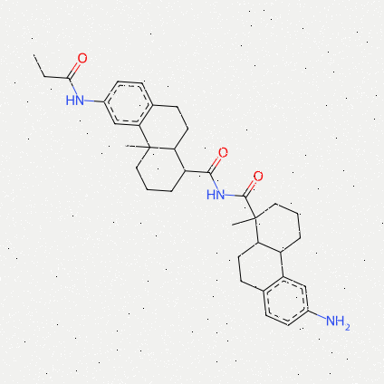 CCC(=O)Nc1ccc2c(c1)C1(C)CCCC(C(=O)NC(=O)C3(C)CCCC4c5cc(N)ccc5CCC43)C1CC2